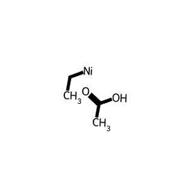 CC(=O)O.C[CH2][Ni]